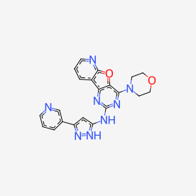 c1cncc(-c2cc(Nc3nc(N4CCOCC4)c4oc5ncccc5c4n3)[nH]n2)c1